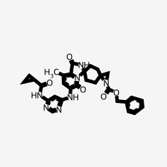 Cc1cc(Nc2cc(NC(=O)C3CC3)ncn2)c(=O)n2c1C(=O)NC21CCC2(CC1)CN2C(=O)OCc1ccccc1